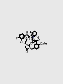 COc1ccc(CN2C(=O)CN(CCO)C2=O)cc1C(=O)N[C@H]1[C@@H](C(=O)Nc2ccc(F)c(C(F)(F)F)c2)[C@H]2CC[C@@H]1/C2=C\C1CC1